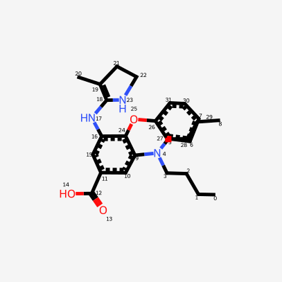 CCCCN(CCCC)c1cc(C(=O)O)cc(NC2=C(C)CCN2)c1Oc1ccccc1